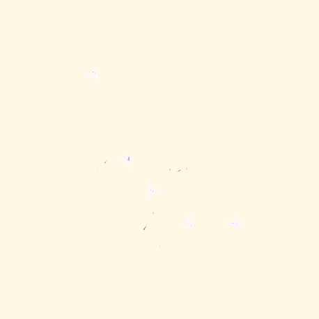 Cc1ncsc1-c1ccc([C@H](C)NC(=O)[C@@H]2C[C@@H](O)CN2C(=O)[C@@H](c2cc(OC3CCNC3)no2)C(C)C)cc1